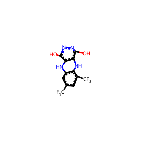 Oc1nnc(O)c2c1Nc1cc(C(F)(F)F)cc(C(F)(F)F)c1N2